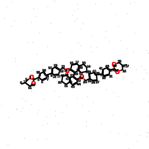 CC1COC(c2ccc(-c3ccc(COc4ccc5c(c4-c4c(OCc6ccc(-c7ccc(C8OCC(C)CO8)cc7)cc6)ccc6c4CCCC6)CCCC5)cc3)cc2)OC1